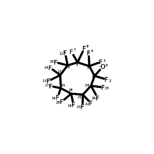 [O]C1(F)C(F)(F)C(F)(F)C(F)(F)C(F)(F)C(F)(F)C(F)(F)C(F)(F)C1(F)F